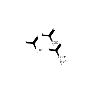 C=C(C)C(=O)[O-].C=C(C)C(=O)[O-].C=C(C)C(=O)[O-].[Nd+3]